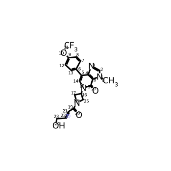 Cn1cnc2c(-c3ccc(OC(F)(F)F)cc3)cn(C3CN(C(=O)/C=C/CO)C3)c(=O)c21